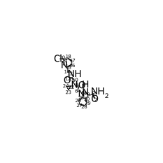 NC(=O)C1NN(CC(=O)N(CC(=O)NCc2cccc(Cl)n2)C2CC2)c2ccccc21